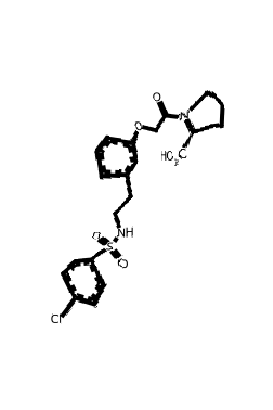 O=C(O)[C@@H]1CCCN1C(=O)COc1cccc(CCNS(=O)(=O)c2ccc(Cl)cc2)c1